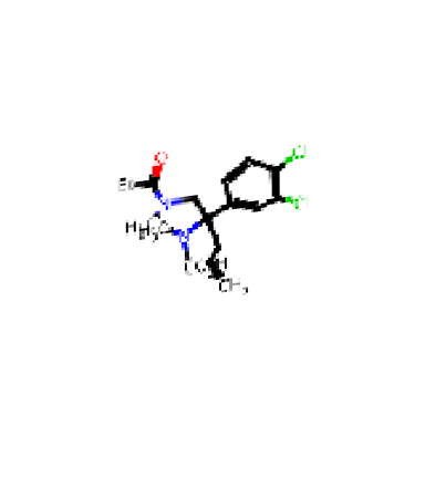 C=CCC(CN(C)C(=O)CC)(c1ccc(Cl)c(Cl)c1)N(C)C(=O)O